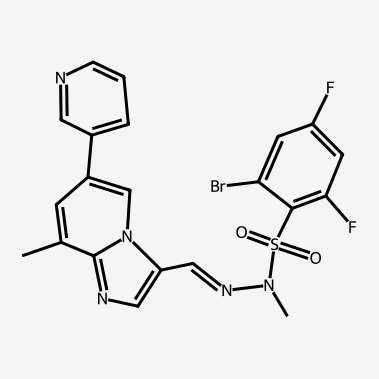 Cc1cc(-c2cccnc2)cn2c(C=NN(C)S(=O)(=O)c3c(F)cc(F)cc3Br)cnc12